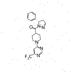 O=C(C1CCN(c2cc(C(F)(F)F)ncn2)CC1)N1N=CC[C@H]1c1ccccc1